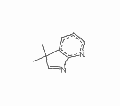 CC1(C)C=Nc2ncccc21